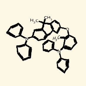 Cc1c(Oc2ccc3c(c2)-c2ccc(N(c4ccccc4)c4ccccc4)cc2C3(C)C)cccc1N(c1ccccc1)c1ccccc1